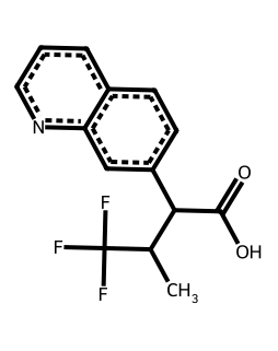 CC(C(C(=O)O)c1ccc2cccnc2c1)C(F)(F)F